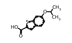 CC(C)Oc1ccc2cc(C(=O)O)sc2c1